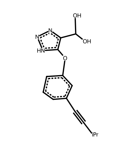 CC(C)C#Cc1cccc(Oc2[nH]nnc2C(O)O)c1